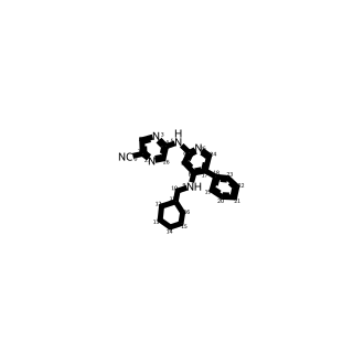 N#Cc1cnc(Nc2cc(NCC3CCCCC3)c(-c3ccccc3)cn2)cn1